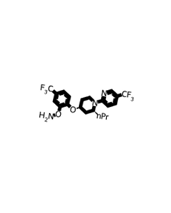 CCC[C@@H]1C[C@H](Oc2ccc(C(F)(F)F)cc2ON)CCN1c1ccc(C(F)(F)F)cn1